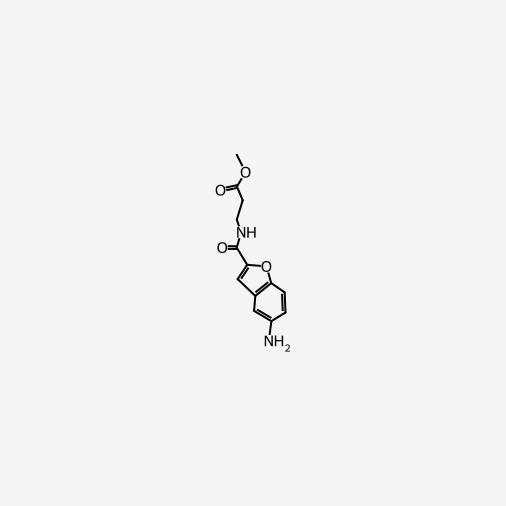 COC(=O)CCNC(=O)c1cc2cc(N)ccc2o1